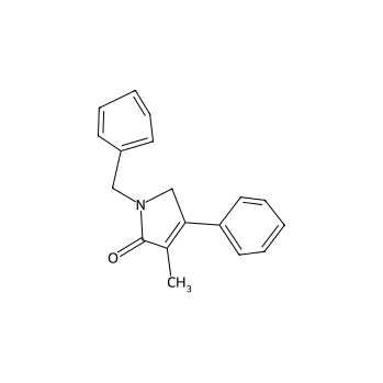 CC1=C(c2ccccc2)CN(Cc2ccccc2)C1=O